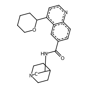 O=C(NC1CN2CCC1CC2)c1ccc2nccc(C3CCCCO3)c2c1